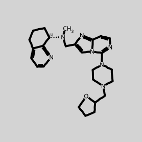 CN(Cc1cn2c(N3CCN(CC4CCCO4)CC3)nccc2n1)[C@H]1CCCc2cccnc21